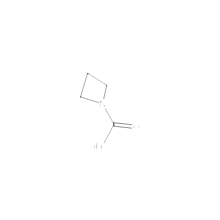 CC(C)C(=O)N1C[CH]C1